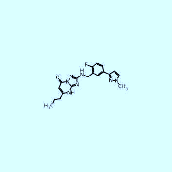 CCCc1cc(=O)n2nc(NCc3cc(-c4ccn(C)n4)ccc3F)nc2[nH]1